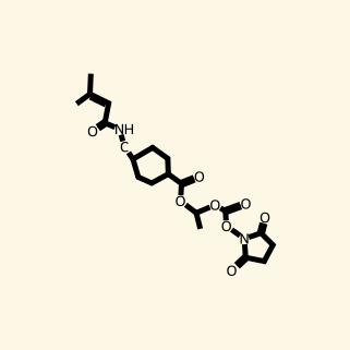 CC(C)=CC(=O)NCC1CCC(C(=O)OC(C)OC(=O)ON2C(=O)CCC2=O)CC1